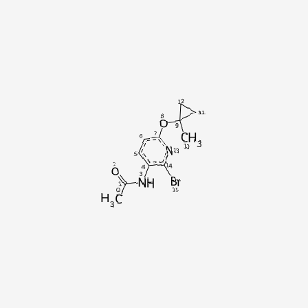 CC(=O)Nc1ccc(OC2(C)CC2)nc1Br